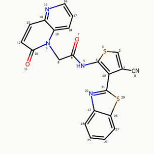 N#Cc1csc(NC(=O)Cn2c(=O)ccc3ncccc32)c1-c1nc2ccccc2s1